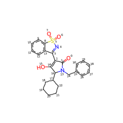 O=C1C(C2=NS(=O)(=O)c3ccccc32)=C(O)C(C2CCCCC2)N1Cc1ccccc1